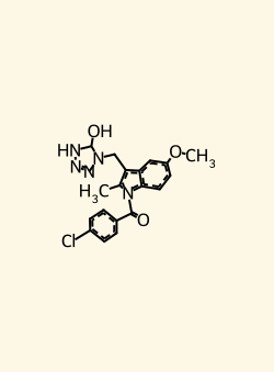 COc1ccc2c(c1)c(CN1N=NNC1O)c(C)n2C(=O)c1ccc(Cl)cc1